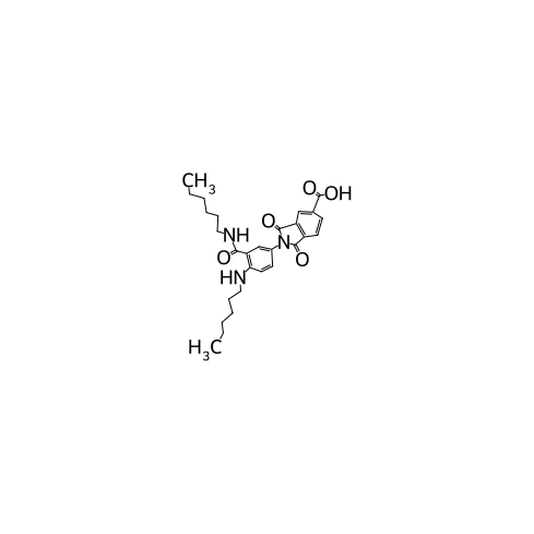 CCCCCCNC(=O)c1cc(N2C(=O)c3ccc(C(=O)O)cc3C2=O)ccc1NCCCCCC